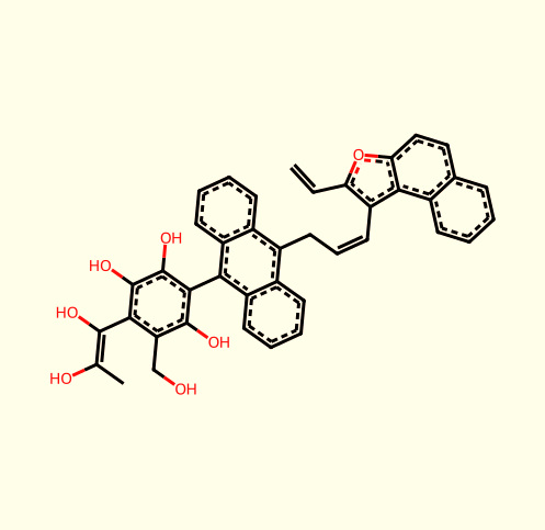 C=Cc1oc2ccc3ccccc3c2c1/C=C\Cc1c2ccccc2c(-c2c(O)c(O)c(/C(O)=C(\C)O)c(CO)c2O)c2ccccc12